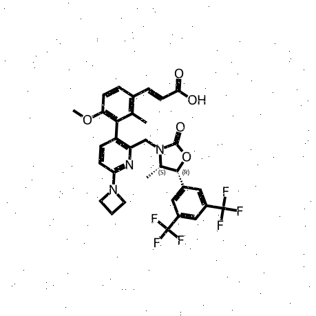 COc1ccc(C=CC(=O)O)c(C)c1-c1ccc(N2CCC2)nc1CN1C(=O)O[C@H](c2cc(C(F)(F)F)cc(C(F)(F)F)c2)[C@@H]1C